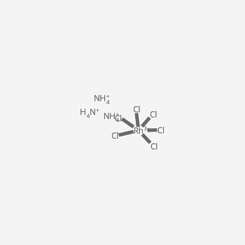 [Cl][Rh-3]([Cl])([Cl])([Cl])([Cl])[Cl].[NH4+].[NH4+].[NH4+]